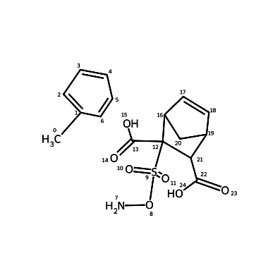 Cc1ccccc1.NOS(=O)(=O)C1(C(=O)O)C2C=CC(C2)C1C(=O)O